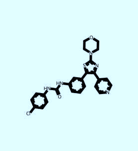 O=C(Nc1ccc(Cl)cc1)Nc1cccc(-c2sc(N3CCOCC3)nc2-c2ccncc2)c1